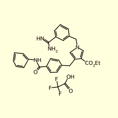 CCOC(=O)c1cn(Cc2cccc(C(=N)N)c2)cc1Cc1ccc(C(=O)Nc2ccccc2)cc1.O=C(O)C(F)(F)F